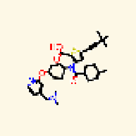 CC1=CCC(C(=O)N(c2cc(C#CC(C)(C)C)sc2C(=O)O)C2CCC(Oc3cc(CN(C)C)ccn3)CC2)CC1